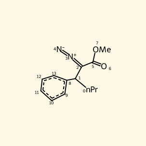 CCCC(C(=[N+]=[N-])C(=O)OC)c1ccccc1